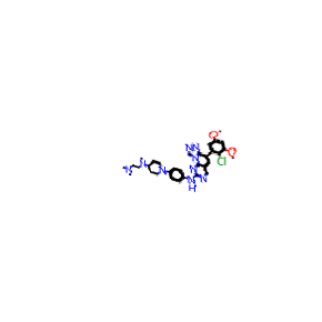 COc1cc(OC)c(Cl)c(-c2cc3cnc(Nc4ccc(N5CCC(N(C)CCN(C)C)CC5)cc4)nc3n3cnnc23)c1